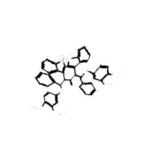 COc1ccc(NC(c2ccccc2)C(C(=O)C(c2c[nH]c3ccccc23)C(Nc2ccc(OC)c(OC)c2)c2ccccc2)c2c[nH]c3ccccc23)cc1OC